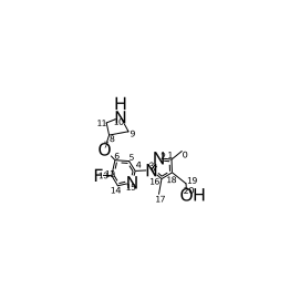 Cc1nn(-c2cc(OC3CNC3)c(F)cn2)c(C)c1CO